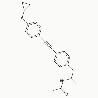 CC(=O)NC(C)Cc1ccc(C#Cc2ccc(OC3CC3)cc2)cc1